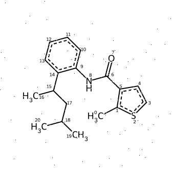 Cc1sccc1C(=O)Nc1ccccc1C(C)CC(C)C